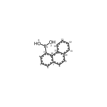 OB(O)c1cccc2ccc3ccccc3c12